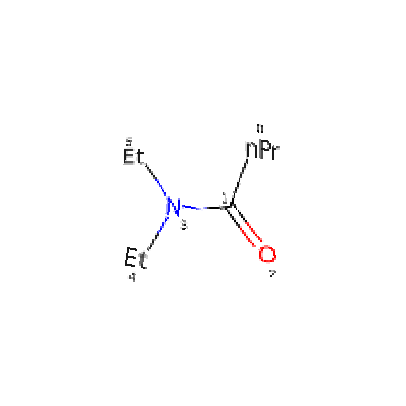 [CH2]CCC(=O)N(CC)CC